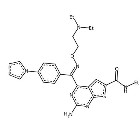 CCNC(=O)c1cc2c(C(=NOCCN(CC)CC)c3ccc(-n4cccc4)cc3)nc(N)nc2s1